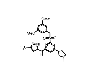 COc1cc(CS(=O)(=O)c2nc(Nc3cc(C)n[nH]3)cc(C3CCNC3)n2)cc(OC)c1